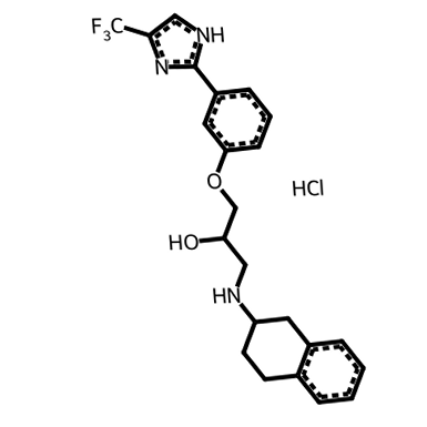 Cl.OC(CNC1CCc2ccccc2C1)COc1cccc(-c2nc(C(F)(F)F)c[nH]2)c1